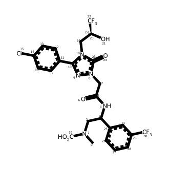 CN(CC(NC(=O)Cn1nc(-c2ccc(Cl)cc2)n(C[C@H](O)C(F)(F)F)c1=O)c1cccc(C(F)(F)F)c1)C(=O)O